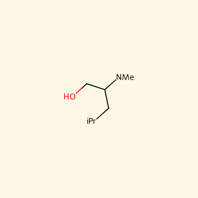 [CH2]NC(CO)CC(C)C